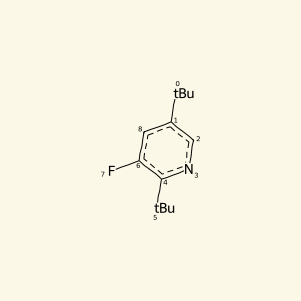 CC(C)(C)c1cnc(C(C)(C)C)c(F)c1